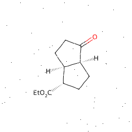 CCOC(=O)[C@H]1CC[C@@H]2C(=O)CC[C@@H]21